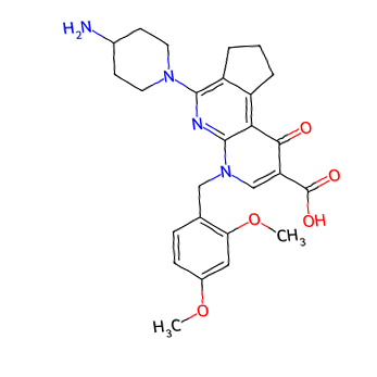 COc1ccc(Cn2cc(C(=O)O)c(=O)c3c4c(c(N5CCC(N)CC5)nc32)CCC4)c(OC)c1